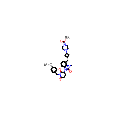 COc1ccc(CN2C(=O)CCC(n3c(=O)n(C)c4c(C[C@H]5C[C@H](N6CCN(C(=O)OC(C)(C)C)CC6)C5)cccc43)C2=O)cc1